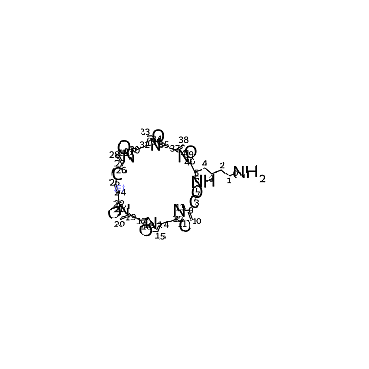 NCCCCC1NOCc2coc(n2)-c2coc(n2)-c2coc(n2)/C=C/Cc2coc(n2)-c2coc(n2)-c2coc1n2